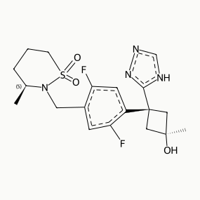 C[C@H]1CCCS(=O)(=O)N1Cc1cc(F)c([C@]2(c3nnc[nH]3)C[C@](C)(O)C2)cc1F